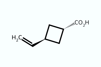 C=C[C@H]1C[C@H](C(=O)O)C1